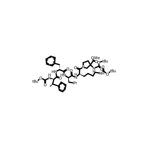 COC(=O)C1(NC(=O)OC(C)(C)C)CCN(C(=O)[C@@H](CCCCNC(=O)OC(C)(C)C)NC(=O)[C@@H](CC(C)C)NC(=O)[C@@H](Cc2ccccc2)NC(=O)[C@H](NC(=O)OC(C)(C)C)[C@H](C)c2ccccc2)C1